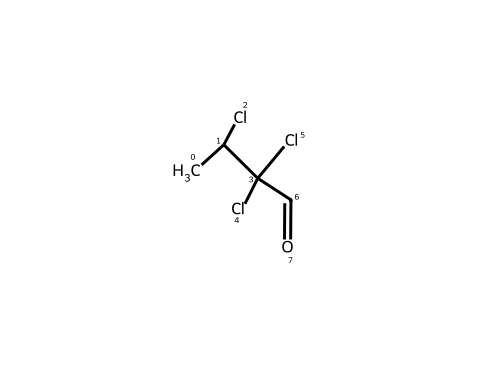 CC(Cl)C(Cl)(Cl)C=O